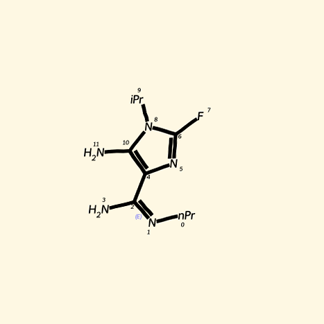 CCC/N=C(/N)c1nc(F)n(C(C)C)c1N